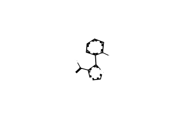 CCc1ccccc1-c1ncsc1C(N)=O